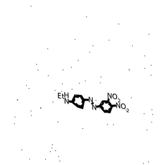 CCNc1ccc(N=Nc2ccc([N+](=O)[O-])c([N+](=O)[O-])c2)cc1